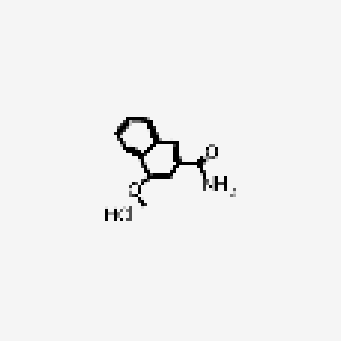 COc1cc(C(N)=O)cc2ccccc12.Cl